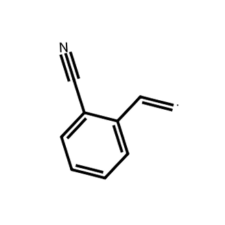 [CH]=Cc1ccccc1C#N